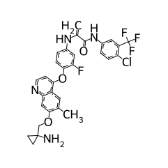 C=C(Nc1ccc(Oc2ccnc3cc(OCC4(N)CC4)c(C)cc23)c(F)c1)C(=O)Nc1ccc(Cl)c(C(F)(F)F)c1